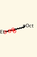 CCCCCCCC/C=C\CCCCCCCC(=O)OCCOCCCOCC